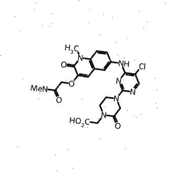 CNC(=O)COc1cc2cc(Nc3nc(N4CCN(CC(=O)O)C(=O)C4)ncc3Cl)ccc2n(C)c1=O